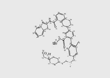 Cc1cc(O[C@H](C)CCC2CCN(CC(=O)O)CC2)ccc1-c1ccc(N2CCc3cccc(C(=O)Nc4nc5ccccc5s4)c3C2)nc1C(=O)OC(C)(C)C